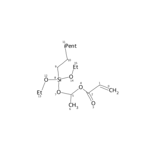 C=CC(=O)OC(C)O[Si](CCC(C)CCC)(OCC)OCC